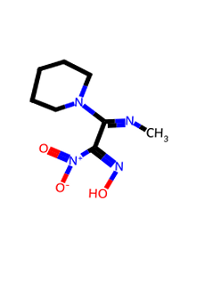 CN=C(C(=NO)[N+](=O)[O-])N1CCCCC1